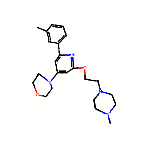 Cc1cccc(-c2cc(N3CCOCC3)cc(OCCN3CCN(C)CC3)n2)c1